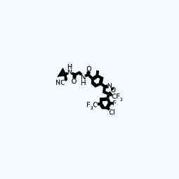 Cc1cc(C2=NOC(c3cc(C(F)(F)F)cc(Cl)c3F)(C(F)(F)F)C2)ccc1C(=O)NCC(=O)NC1(CC#N)CC1